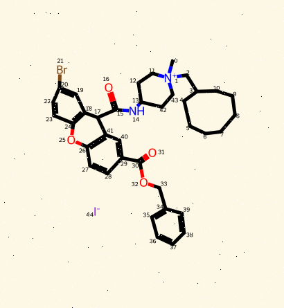 C[N+]1(CC2CCCCCCC2)CCC(NC(=O)C2c3cc(Br)ccc3Oc3ccc(C(=O)OCc4ccccc4)cc32)CC1.[I-]